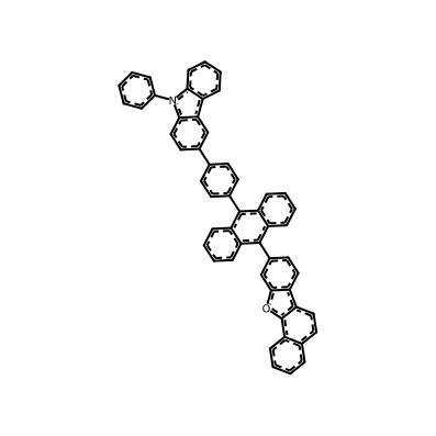 c1ccc(-n2c3ccccc3c3cc(-c4ccc(-c5c6ccccc6c(-c6ccc7c(c6)oc6c8ccccc8ccc76)c6ccccc56)cc4)ccc32)cc1